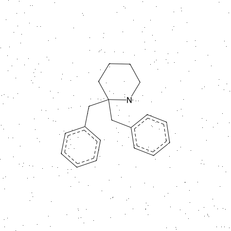 c1ccc(CC2(Cc3ccccc3)CCCC[N]2)cc1